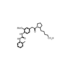 COc1cc(CC(=O)N2CCCC2CCCCC(=O)O)ccc1NC(=O)Nc1ccccc1C